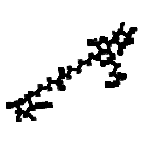 CC[C@H]1O[C@@H](n2cc(C)c(=O)[nH]c2=O)[C@@H](OC(=O)CCC(=O)NC)C1OCCCCCCNC(=O)CCCCO[C@@H]1O[C@H](CC)[C@H](C)[C@H](C)[C@H]1NC(C)=O